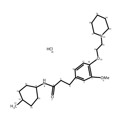 COc1cc(CCC(=O)NC2CCC(C)CC2)ccc1OCCN1CCCCC1.Cl